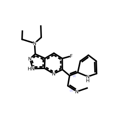 CCN(CC)c1n[nH]c2nc(C(/C=N\C)=C3\C=CC=CN3)c(F)cc12